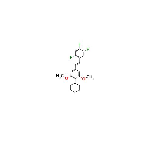 COc1cc(C=Cc2cc(F)c(F)cc2F)cc(OC)c1C1CCCCC1